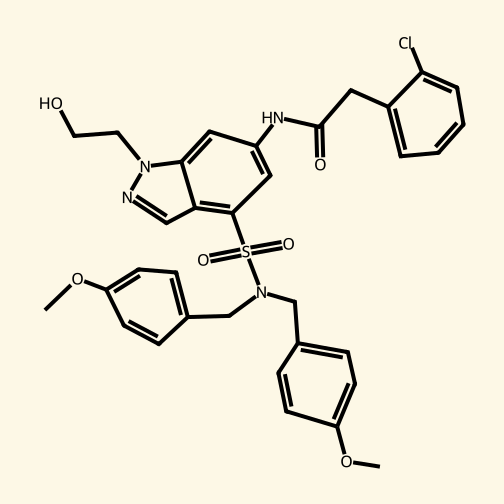 COc1ccc(CN(Cc2ccc(OC)cc2)S(=O)(=O)c2cc(NC(=O)Cc3ccccc3Cl)cc3c2cnn3CCO)cc1